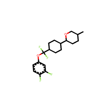 CC1CCC(C2CCC(C(F)(F)Oc3ccc(F)c(F)c3)CC2)OC1